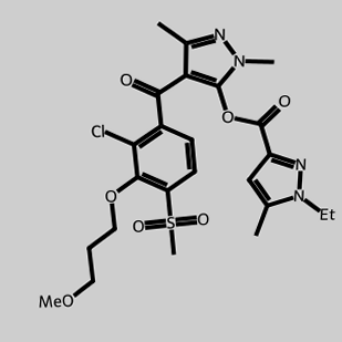 CCn1nc(C(=O)Oc2c(C(=O)c3ccc(S(C)(=O)=O)c(OCCCOC)c3Cl)c(C)nn2C)cc1C